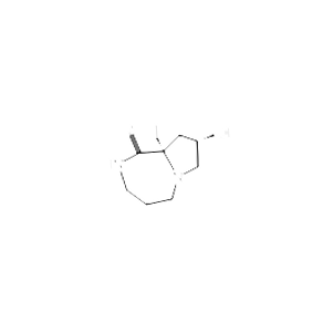 O=C1NCCCN2C[C@H](O)C[C@@H]12